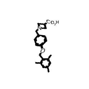 Cc1cc(C)c(COc2ccc(CN3CC(C(=O)O)C3)cc2)c(C)c1